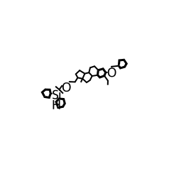 CCc1cc2c(cc1OCc1ccccc1)CCC1C2CCC2(C)C(CCOCC(C)(C)[SiH](c3ccccc3)c3ccccc3)CCC12